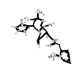 Cn1cccc1CC(=O)NC1C(=O)N2C(c3nnn[nH]3)C(C)(C)S[C@H]12